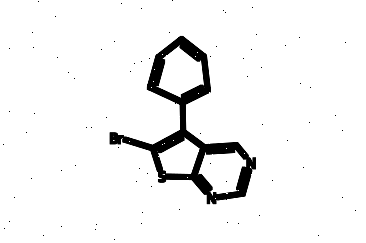 Brc1sc2ncncc2c1-c1ccccc1